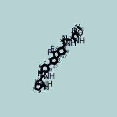 FC1(F)c2cc(-c3ccc4nc(C5CC6CC[C@H](C6)N5)[nH]c4c3)ccc2-c2ccc(-c3cnc([C@H]4CC5(CN4)OCCO5)[nH]3)cc21